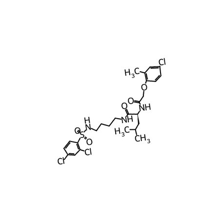 Cc1cc(Cl)ccc1OCC(=O)N[C@@H](CC(C)C)C(=O)NCCCCNS(=O)(=O)c1ccc(Cl)cc1Cl